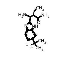 CC[C@@H](C(N)=O)C(N)c1nc2ccc(C(C)(C)C)cc2[nH]1